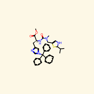 COC(=O)[C@H](Cc1cn(C(c2ccccc2)(c2ccccc2)c2ccccc2)cn1)NC(=O)N(C)CC1=CNC(C(C)C)S1